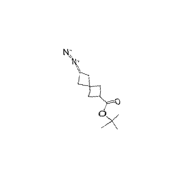 CC(C)(C)OC(=O)C1CC2(CC(=[N+]=[N-])C2)C1